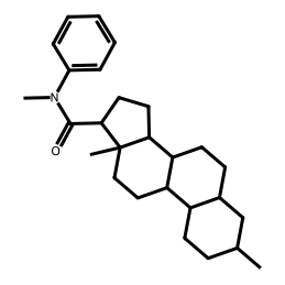 CC1CCC2C(CCC3C2CCC2(C)C(C(=O)N(C)c4ccccc4)CCC32)C1